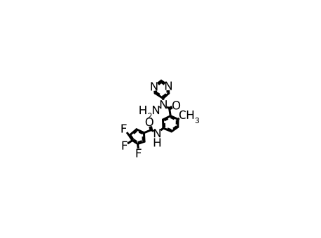 Cc1ccc(NC(=O)c2cc(F)c(F)c(F)c2)cc1C(=O)N(N)c1cncnc1